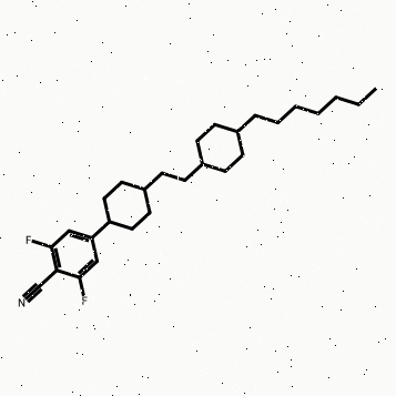 CCCCCCCC1CCC(CCC2CCC(c3cc(F)c(C#N)c(F)c3)CC2)CC1